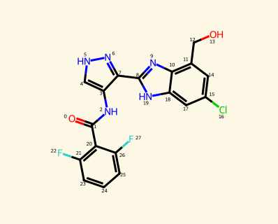 O=C(Nc1c[nH]nc1-c1nc2c(CO)cc(Cl)cc2[nH]1)c1c(F)cccc1F